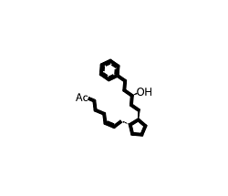 CC(=O)CCC/C=C\C[C@H]1CCC[C@@H]1CC[C@@H](O)CCc1ccccc1